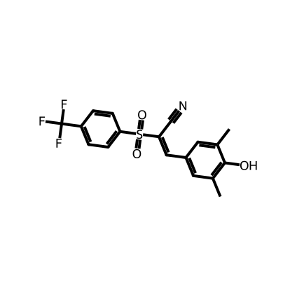 Cc1cc(/C=C(\C#N)S(=O)(=O)c2ccc(C(F)(F)F)cc2)cc(C)c1O